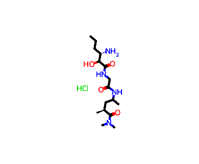 CCC[C@H](N)C(O)C(=O)NCC(=O)NC(C)C[C@H](C)C(=O)N(C)C.Cl